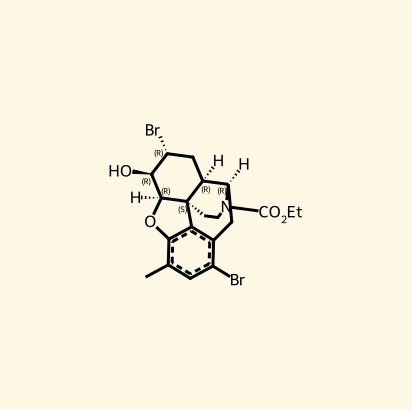 CCOC(=O)N1CC[C@]23c4c5c(Br)cc(C)c4O[C@H]2[C@@H](O)[C@H](Br)C[C@H]3[C@H]1C5